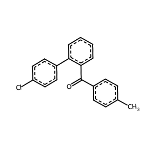 Cc1ccc(C(=O)c2ccccc2-c2ccc(Cl)cc2)cc1